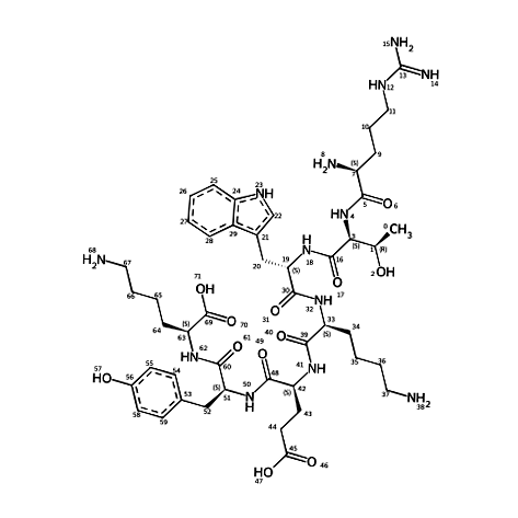 C[C@@H](O)[C@H](NC(=O)[C@@H](N)CCCNC(=N)N)C(=O)N[C@@H](Cc1c[nH]c2ccccc12)C(=O)N[C@@H](CCCCN)C(=O)N[C@@H](CCC(=O)O)C(=O)N[C@@H](Cc1ccc(O)cc1)C(=O)N[C@@H](CCCCN)C(=O)O